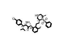 CC(C)[C@H](c1ccc(Cl)cc1)[C@H](N)C(=O)Nc1cccc(F)c1CC[C@H]1CNC[C@@H](C)N1S(=O)(=O)c1ccccc1